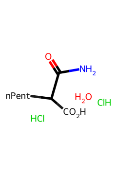 CCCCCC(C(N)=O)C(=O)O.Cl.Cl.O